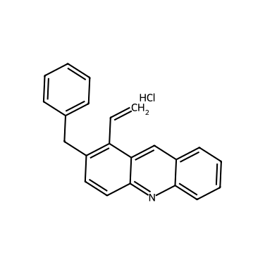 C=Cc1c(Cc2ccccc2)ccc2nc3ccccc3cc12.Cl